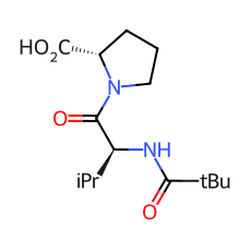 CC(C)[C@H](NC(=O)C(C)(C)C)C(=O)N1CCC[C@H]1C(=O)O